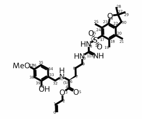 C=CCOC(=O)[C@H](CCCNC(=N)NS(=O)(=O)c1c(C)c(C)c2c(c1C)OC(C)(C)C2)NCc1ccc(OC)cc1O